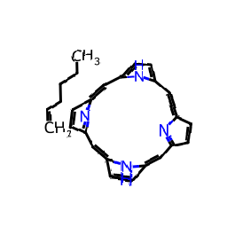 C1=Cc2cc3ccc(cc4nc(cc5ccc(cc1n2)[nH]5)C=C4)[nH]3.C=CCCCC